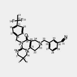 CC1(C)CN=C2N(Cc3ccc(C(C)(F)F)cc3)C(=O)C3=C(CCN(Cc4cccc(C#N)c4)C3)N2C1